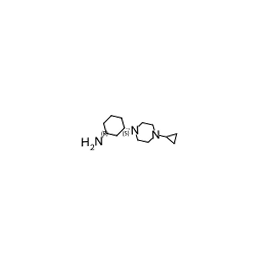 N[C@@H]1CCC[C@H](N2CCN(C3CC3)CC2)C1